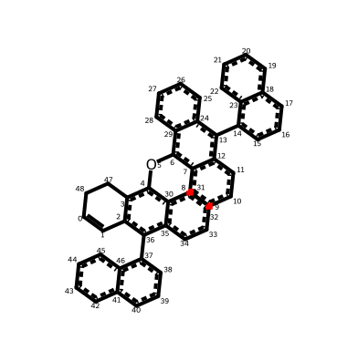 C1=Cc2c(c(Oc3c4ccccc4c(-c4cccc5ccccc45)c4ccccc34)c3ccccc3c2-c2cccc3ccccc23)CC1